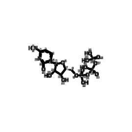 Nc1ccn(N2O[C@H](COP(=O)(O)OP(=O)(O)OP(=O)(O)O)[C@@H](O)[C@H]2O)c(=O)n1